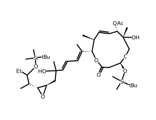 CCC(O[Si](C)(C)C(C)(C)C)C(C)[C@H]1O[C@@H]1CC(C)(O)/C=C/C=C(\C)[C@H]1OC(=O)C[C@H](O[Si](C)(C)C(C)(C)C)CC[C@@](C)(O)[C@@H](OC(C)=O)/C=C/[C@@H]1C